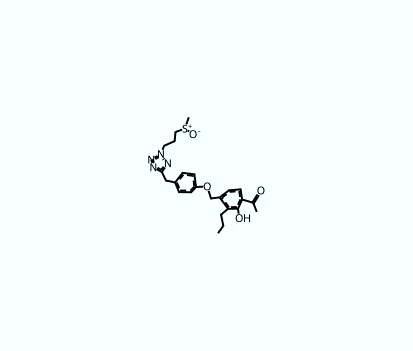 CCCc1c(COc2ccc(Cc3nnn(CCC[S+](C)[O-])n3)cc2)ccc(C(C)=O)c1O